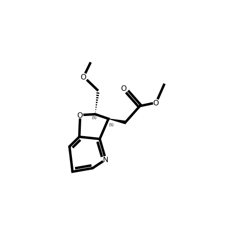 COC[C@H]1Oc2cccnc2[C@@H]1CC(=O)OC